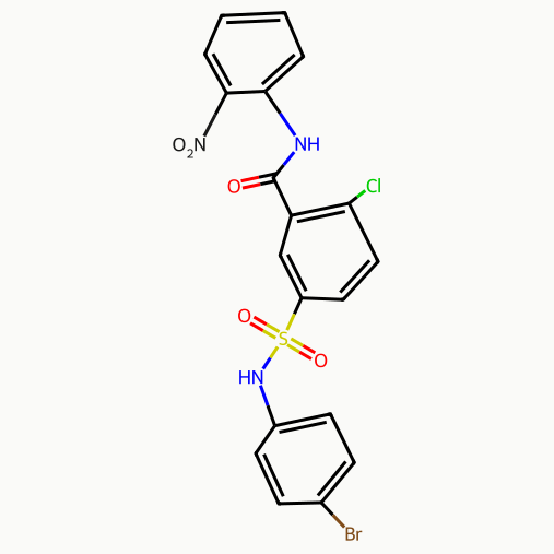 O=C(Nc1ccccc1[N+](=O)[O-])c1cc(S(=O)(=O)Nc2ccc(Br)cc2)ccc1Cl